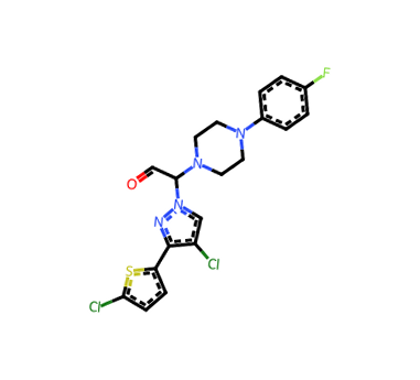 O=CC(N1CCN(c2ccc(F)cc2)CC1)n1cc(Cl)c(-c2ccc(Cl)s2)n1